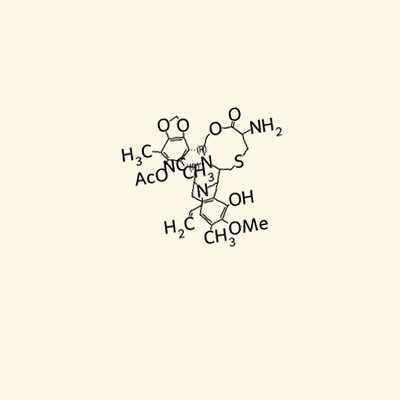 C=CCN1C2c3c(cc(C)c(OC)c3O)CC1[C@H](C#N)N1C2CSCC(N)C(=O)OC[C@H]1c1c(C)c(OC(C)=O)c(C)c2c1OCO2